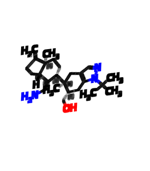 C=C1CC[C@H]2[C@H](CN)[C@@H]([C@@]3(C)Cc4cnn(C(C)(C)C)c4C[C@@H]3CO)CC[C@]12C